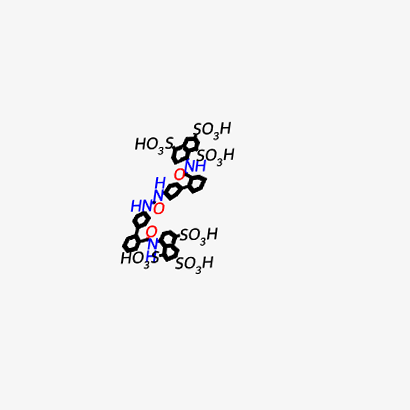 O=C(Nc1ccc(-c2ccccc2C(=O)Nc2ccc(S(=O)(=O)O)c3cc(S(=O)(=O)O)cc(S(=O)(=O)O)c23)cc1)Nc1ccc(-c2ccccc2C(=O)Nc2ccc(S(=O)(=O)O)c3cc(S(=O)(=O)O)cc(S(=O)(=O)O)c23)cc1